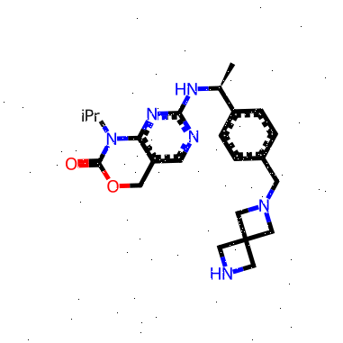 CC(C)N1C(=O)OCc2cnc(N[C@@H](C)c3ccc(CN4CC5(CNC5)C4)cc3)nc21